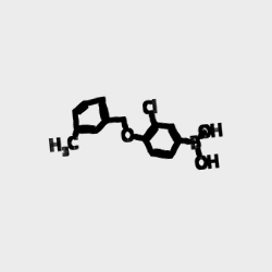 Cc1cccc(COc2ccc(B(O)O)cc2Cl)c1